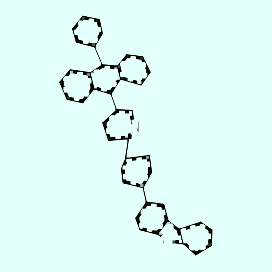 c1ccc(-c2c3ccccc3c(-c3ccc(-c4ccc(-c5ccc6oc7ccccc7c6c5)cc4)nc3)c3ccccc23)cc1